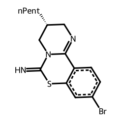 CCCCC[C@@H]1CN=C2c3ccc(Br)cc3SC(=N)N2C1